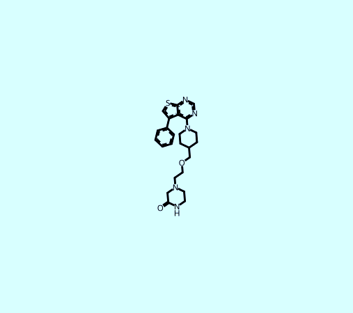 O=C1CN(CCOCC2CCN(c3ncnc4scc(-c5ccccc5)c34)CC2)CCN1